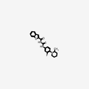 CC1CCCCN1c1ccc(NC(=S)NC(=O)c2cc3ccccc3o2)cc1F